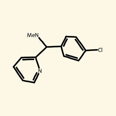 CNC(c1ccc(Cl)cc1)c1ccccn1